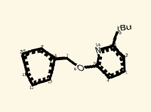 CC(C)(C)c1cccc(OCc2ccccc2)n1